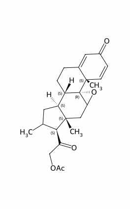 CC(=O)OCC(=O)[C@H]1C(C)C[C@H]2[C@@H]3CCC4=CC(=O)C=C[C@]4(C)[C@]34OC4C[C@]12C